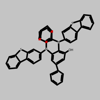 Oc1cc(-c2ccccc2)cc(N(c2ccccc2)c2ccc3c(c2)sc2ccccc23)c1N(c1ccccc1)c1ccc2c(c1)sc1ccccc12